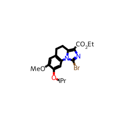 CCOC(=O)c1nc(Br)n2c1CCc1cc(OC)c(OC(C)C)cc1-2